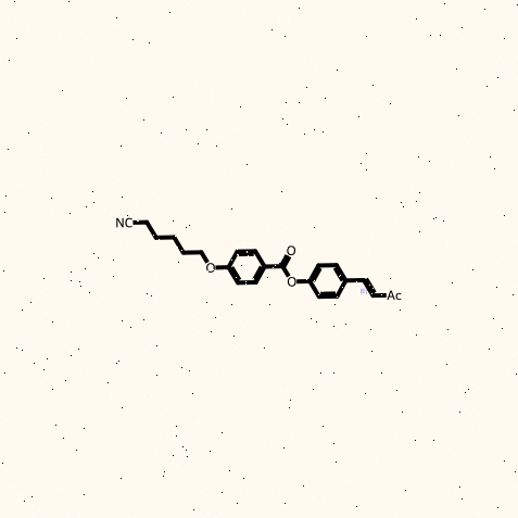 CC(=O)/C=C/c1ccc(OC(=O)c2ccc(OCCCCCC#N)cc2)cc1